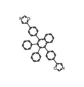 c1ccc(-c2c(-c3ccccc3)c(-c3ccc(-c4cnco4)cc3)c3ccccc3c2-c2ccc(-c3cnco3)cc2)cc1